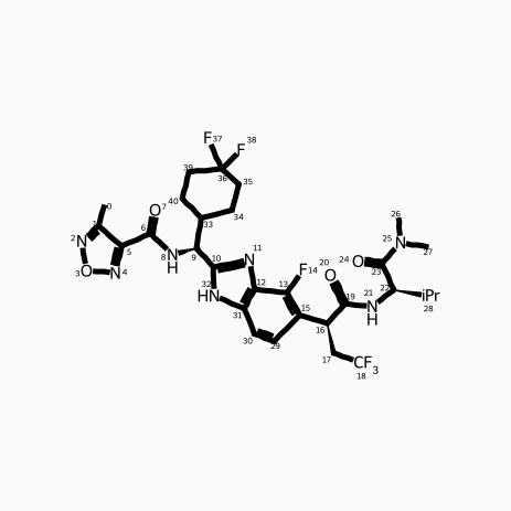 Cc1nonc1C(=O)N[C@H](c1nc2c(F)c([C@H](CC(F)(F)F)C(=O)N[C@@H](C(=O)N(C)C)C(C)C)ccc2[nH]1)C1CCC(F)(F)CC1